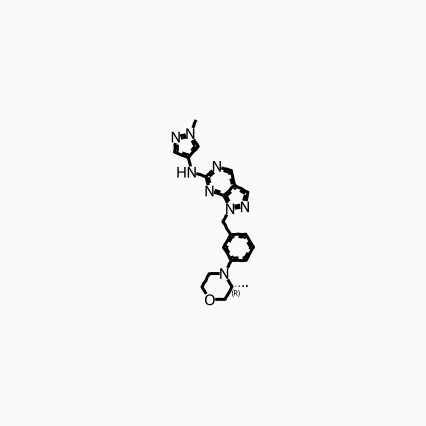 C[C@@H]1COCCN1c1cccc(Cn2ncc3cnc(Nc4cnn(C)c4)nc32)c1